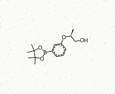 C[C@@H](CO)Oc1cccc(B2OC(C)(C)C(C)(C)O2)c1